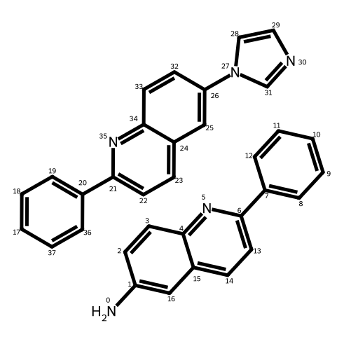 Nc1ccc2nc(-c3ccccc3)ccc2c1.c1ccc(-c2ccc3cc(-n4ccnc4)ccc3n2)cc1